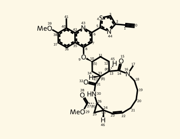 C#Cc1csc(-c2cc(O[C@H]3CC[C@H]4C(=O)N(C)CCCCC=C[C@@H]5C[C@@]5(C(=O)OC)NC(=O)[C@@H]4C3)c3ccc(OC)c(C)c3n2)n1